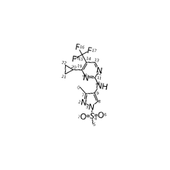 Cc1nn(S(C)(=O)=O)cc1Nc1ncc(C(F)(F)F)c(C2CC2)n1